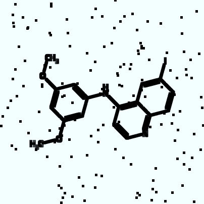 COc1cc(Nc2ccnc3ccc(I)cc23)cc(OC)c1